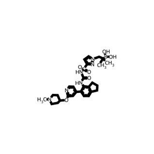 CN1CCC(Oc2cc(-c3ccc4c(c3NC(=O)NS(=O)(=O)c3ccn(CC(C)(C)B(O)O)n3)CCC4)ccn2)CC1